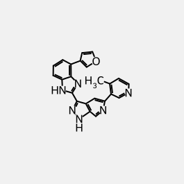 Cc1ccncc1-c1cc2c(-c3nc4c(-c5ccoc5)cccc4[nH]3)n[nH]c2cn1